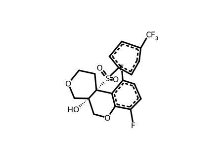 O=S(=O)(c1ccc(C(F)(F)F)cc1)[C@@]12CCOC[C@]1(O)COc1c(F)ccc(F)c12